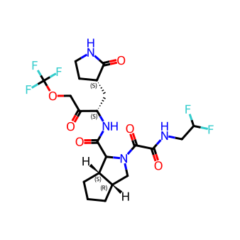 O=C(NCC(F)F)C(=O)N1C[C@@H]2CCC[C@@H]2C1C(=O)N[C@@H](C[C@@H]1CCNC1=O)C(=O)COC(F)(F)F